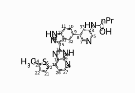 CCCC(O)Nc1cncc(-c2ccc3[nH]nc(-c4nc5c(-c6ccc(C)s6)ccnc5[nH]4)c3c2)c1